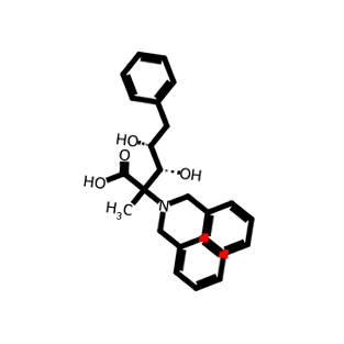 CC(C(=O)O)([C@@H](O)[C@H](O)Cc1ccccc1)N(Cc1ccccc1)Cc1ccccc1